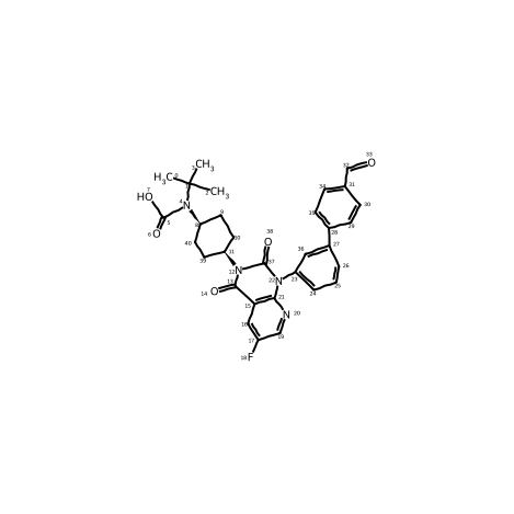 CC(C)(C)N(C(=O)O)[C@H]1CC[C@@H](n2c(=O)c3cc(F)cnc3n(-c3cccc(-c4ccc(C=O)cc4)c3)c2=O)CC1